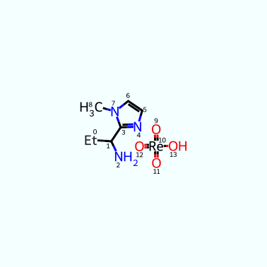 CCC(N)c1nccn1C.[O]=[Re](=[O])(=[O])[OH]